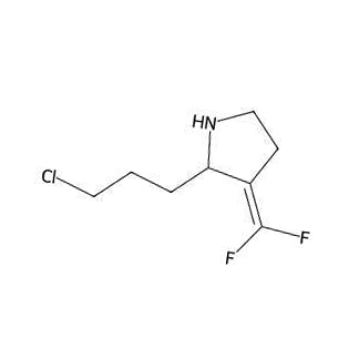 FC(F)=C1CCNC1CCCCl